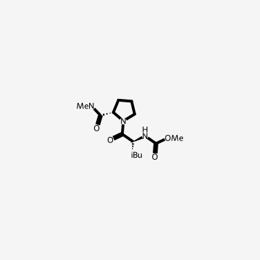 CC[C@@H](C)[C@H](NC(=O)OC)C(=O)N1CCC[C@H]1C(=O)NC